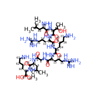 CC(C)C[C@H](NC(=O)CNC(=O)[C@H](CCCNC(=N)N)NC(=O)[C@H](CCCCN)NC(=O)[C@H](CCCNC(=N)N)NC(=O)[C@@H](NC(=O)[C@@H](N)CC(C)C)[C@@H](C)O)C(=O)N[C@@H](CCCCN)C(=O)O